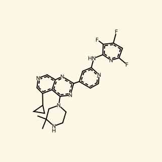 CC1(C)CN(c2nc(-c3ccnc(Nc4nc(F)cc(F)c4F)c3)nc3cncc(C4CC4)c23)CCN1